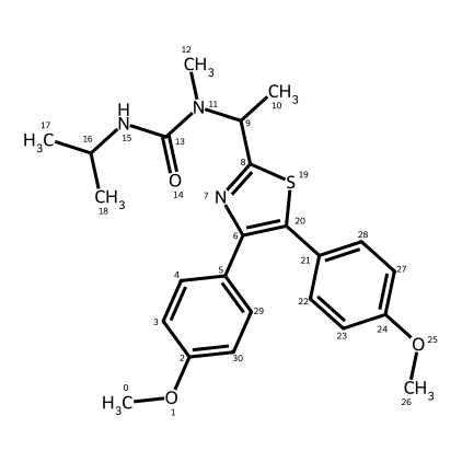 COc1ccc(-c2nc(C(C)N(C)C(=O)NC(C)C)sc2-c2ccc(OC)cc2)cc1